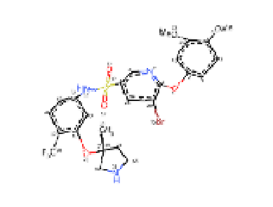 COc1ccc(Oc2ncc(S(=O)(=O)Nc3ccc(C(F)(F)F)c(O[C@]4(C)CCNC4)c3)cc2Br)cc1OC